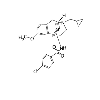 COc1ccc2c(c1)[C@@]13CCN(CC4CC4)[C@@H](C2)C1OCC(NS(=O)(=O)c1ccc(Cl)cc1)C3